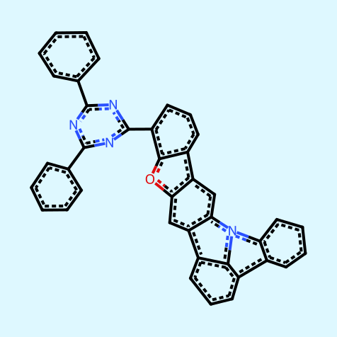 c1ccc(-c2nc(-c3ccccc3)nc(-c3cccc4c3oc3cc5c6cccc7c8ccccc8n(c5cc34)c76)n2)cc1